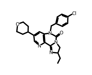 CCC1CN2C(=O)N(Cc3ccc(Cl)cc3)c3cc(C4CCOCC4)cnc3C2=N1